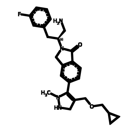 CN1NCC(COCC2CC2)=C1c1ccc2c(c1)CN([C@H](CN)Cc1cccc(F)c1)C2=O